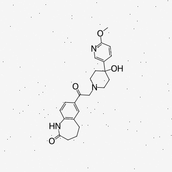 COc1ccc(C2(O)CCN(CC(=O)c3ccc4c(c3)CCCC(=O)N4)CC2)cn1